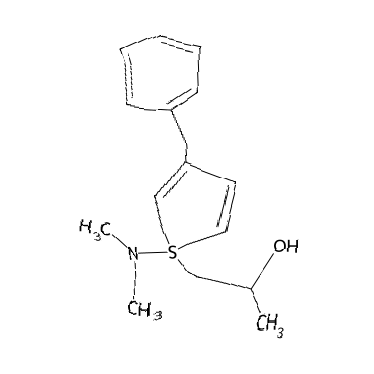 CC(O)CS1(N(C)C)C=CC(c2ccccc2)=C1